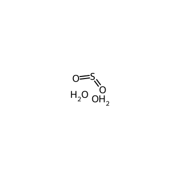 O.O.O=S=O